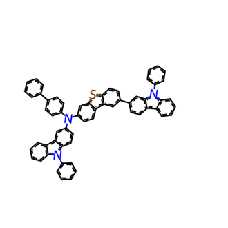 c1ccc(-c2ccc(N(c3ccc4c(c3)sc3ccc(-c5ccc6c7ccccc7n(-c7ccccc7)c6c5)cc34)c3ccc4c(c3)c3ccccc3n4-c3ccccc3)cc2)cc1